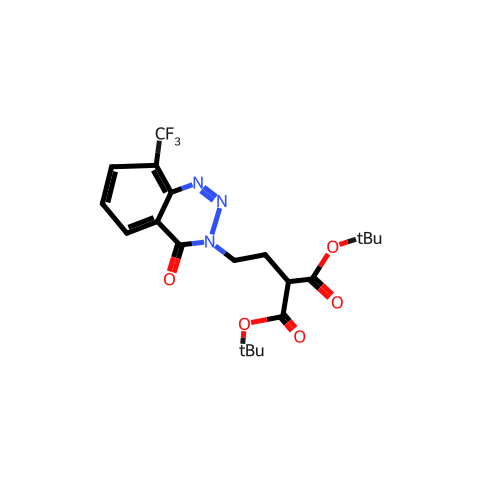 CC(C)(C)OC(=O)C(CCn1nnc2c(C(F)(F)F)cccc2c1=O)C(=O)OC(C)(C)C